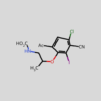 CC(=O)c1cc(Cl)c(C#N)c(I)c1OC(C)CNC(=O)O